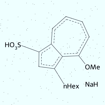 CCCCCCc1cc(S(=O)(=O)O)c2ccccc(OC)c1-2.[NaH]